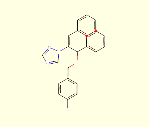 CC(C)(C)c1ccc(COC(/C(=C\c2ccccc2)n2cncn2)c2ccccc2)cc1